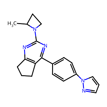 CC1CCN1c1nc2c(c(-c3ccc(-n4cccn4)cc3)n1)CCC2